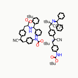 CC(C)(C)OC(=O)Nc1ccc(/C=C(\C#N)c2ccc(C[C@@](N=C(c3ccccc3)c3ccccc3)(C(=O)O)C(C)(C)C)cc2)cc1.CC(C)(C)OC(=O)Nc1ccc(C=C(C#N)c2ccc(CC(NC(c3ccccc3)c3ccccc3)C(=O)OC(C)(C)C)cc2)cc1